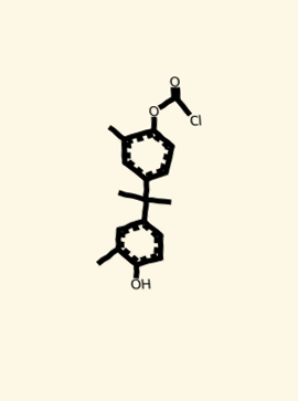 Cc1cc(C(C)(C)c2ccc(OC(=O)Cl)c(C)c2)ccc1O